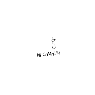 [Co].[LiH].[Mn].[Ni].[O]=[Fe]